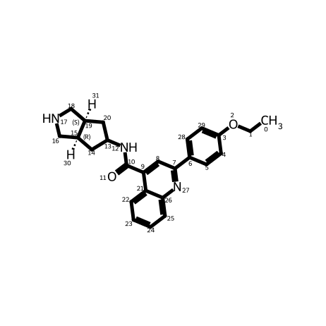 CCOc1ccc(-c2cc(C(=O)NC3C[C@H]4CNC[C@H]4C3)c3ccccc3n2)cc1